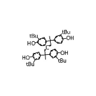 CC(C)(C)c1cc(C(C)(C=C=CC(C)(c2ccc(O)c(C(C)(C)C)c2)c2ccc(O)c(C(C)(C)C)c2)c2ccc(O)c(C(C)(C)C)c2)ccc1O